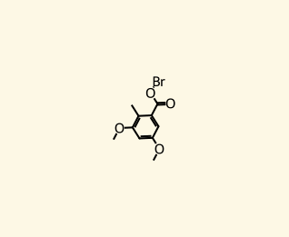 COc1cc(OC)c(C)c(C(=O)OBr)c1